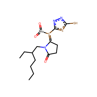 CCCCC(CC)CN1C(=O)CCC1=[S](c1nnc(S)s1)[Mo](=[O])=[O]